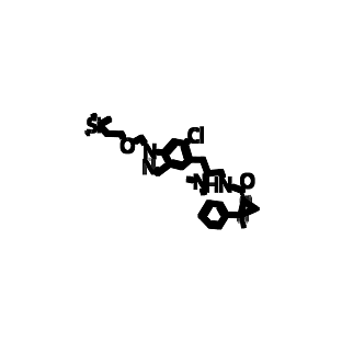 CN(C)C(CNC(=O)[C@@H]1C[C@]1(C)c1ccccc1)Cc1cc2cnn(COCC[Si](C)(C)C)c2cc1Cl